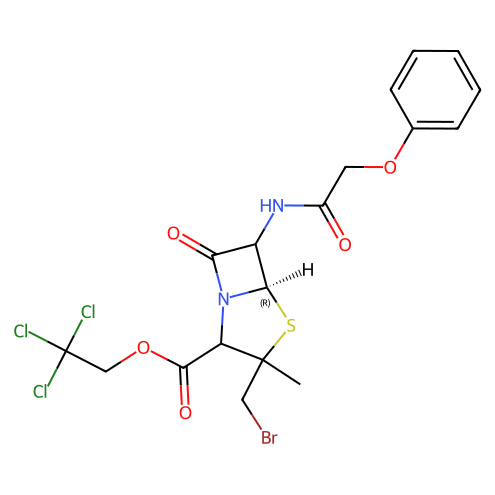 CC1(CBr)S[C@@H]2C(NC(=O)COc3ccccc3)C(=O)N2C1C(=O)OCC(Cl)(Cl)Cl